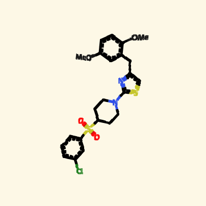 COc1ccc(OC)c(Cc2csc(N3CCC(S(=O)(=O)c4cccc(Cl)c4)CC3)n2)c1